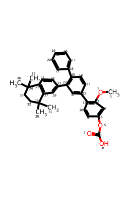 COc1cc(OC(=O)O)ccc1-c1ccc(-c2ccccc2)c(-c2ccc3c(c2)C(C)(C)CCC3(C)C)c1